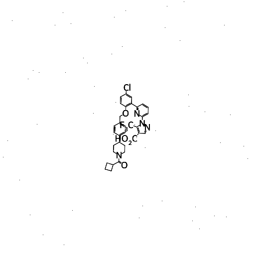 O=C(O)c1cnn(-c2cccc(-c3cc(Cl)ccc3OCc3ccc(C4CCN(C(=O)C5CCC5)CC4)cc3)n2)c1C(F)(F)F